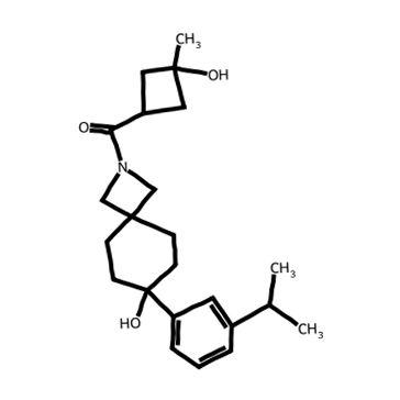 CC(C)c1cccc(C2(O)CCC3(CC2)CN(C(=O)C2CC(C)(O)C2)C3)c1